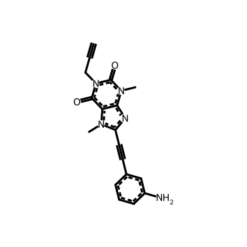 C#CCn1c(=O)c2c(nc(C#Cc3cccc(N)c3)n2C)n(C)c1=O